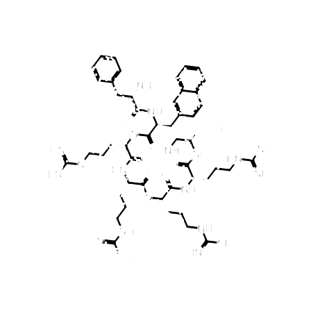 N=C(N)NCCC[C@H](NC(=O)[C@H](CCCNC(=N)N)NC(=O)[C@H](CCCNC(=N)N)NC(=O)[C@H](CCCNC(=N)N)NC(=O)[C@H](Cc1ccc2ccccc2c1)NC(=O)[C@@H](N)Cc1ccccc1)C(=O)N[C@@H](CN)C(=O)O